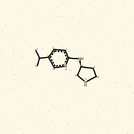 CC(C)c1ccc(N[C@H]2CCNC2)nc1